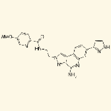 COc1ccc(C(=O)NCCn2cc3c(n2)c(N)nc2cc(-c4cc[nH]n4)ccc23)nc1